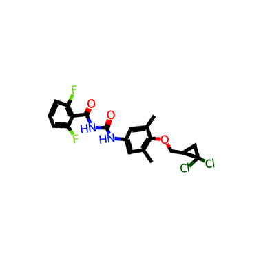 Cc1cc(NC(=O)NC(=O)c2c(F)cccc2F)cc(C)c1OCC1CC1(Cl)Cl